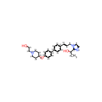 CC(O)c1nccn1CC=Cc1ccc(-c2ccc(OC3CCN(CCO)CC3)cc2)cc1